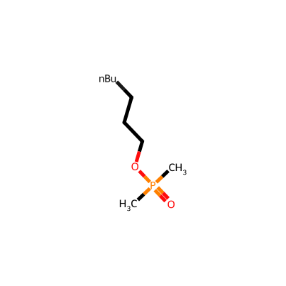 CCCCCCCOP(C)(C)=O